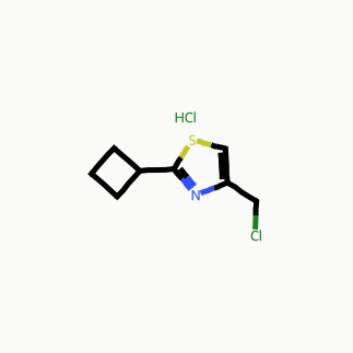 Cl.ClCc1csc(C2CCC2)n1